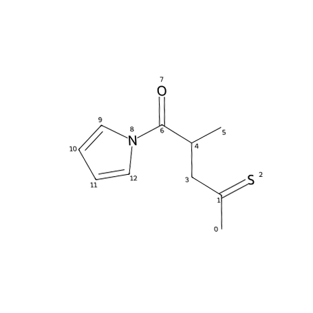 CC(=S)CC(C)C(=O)n1cccc1